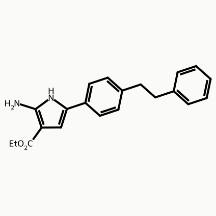 CCOC(=O)c1cc(-c2ccc(CCc3ccccc3)cc2)[nH]c1N